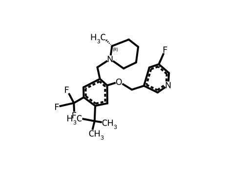 C[C@@H]1CCCCN1Cc1cc(C(F)(F)F)c(C(C)(C)C)cc1OCc1cncc(F)c1